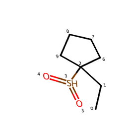 CCC1([SH](=O)=O)CCCC1